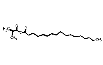 C=C(C)C(=O)OC(=O)CCCCCCCCCCCCCCCC